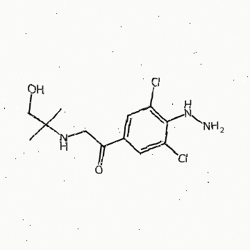 CC(C)(CO)NCC(=O)c1cc(Cl)c(NN)c(Cl)c1